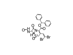 O=CNC1C(=O)N2C(C(=O)OC(c3ccccc3)c3ccccc3)=C(C=C(Br)Br)C[S+]([O-])[C@H]12